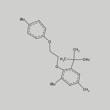 CCC(C)c1ccc(OCCOc2c(C(C)(C)C)cc(C)cc2C(C)(C)OC(C)=O)cc1